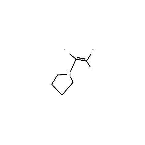 FC(F)=C(F)N1CCCC1